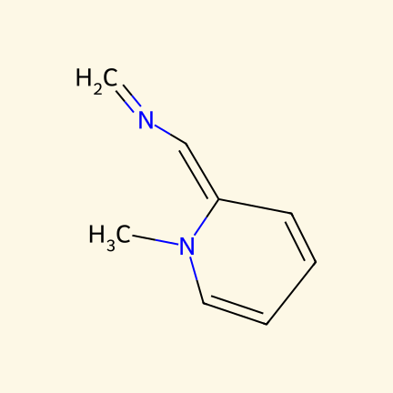 C=N/C=C1/C=CC=CN1C